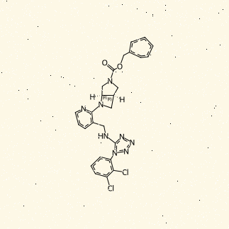 O=C(OCc1ccccc1)N1C[C@H]2CN(c3ncccc3CNc3nnnn3-c3cccc(Cl)c3Cl)[C@H]2C1